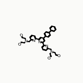 O=CCN(CC=O)Cc1cccc(-c2cc(-c3ccc(-c4ccccc4)cc3)cc(-c3cccc(CN(CC=O)CC=O)n3)n2)n1